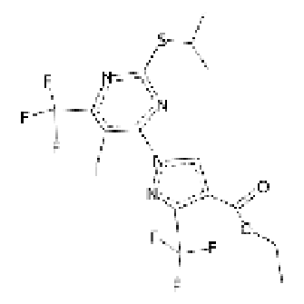 CCOC(=O)c1cn(-c2nc(SC(C)C)nc(C(F)(F)F)c2I)nc1C(F)(F)F